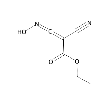 CCOC(=O)C(=C=NO)C#N